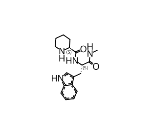 CNC(=O)[C@H](Cc1c[nH]c2ccccc12)NC(=O)[C@@H]1CCCCN1